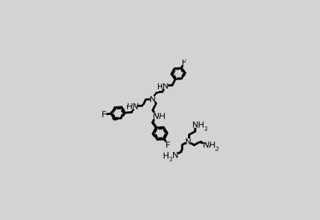 Fc1ccc(CNCCN(CCNCc2ccc(F)cc2)CCNCc2ccc(F)cc2)cc1.NCCN(CCN)CCN